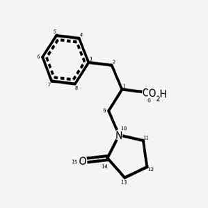 O=C(O)C(Cc1ccccc1)CN1CCCC1=O